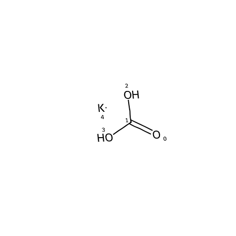 O=C(O)O.[K]